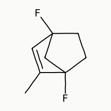 CC1=CC2(F)CCC1(F)C2